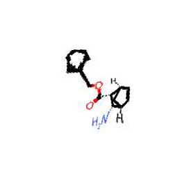 N[C@@H]1[C@H](C(=O)OCc2ccccc2)[C@H]2C=C[C@@H]1C2